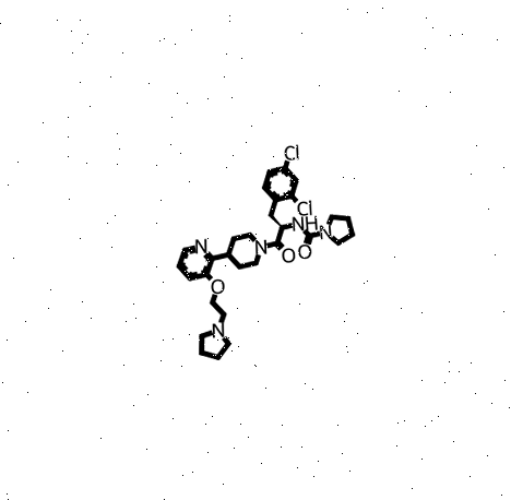 O=C(N[C@H](Cc1ccc(Cl)cc1Cl)C(=O)N1CCC(c2ncccc2OCCN2CCCC2)CC1)N1CCCC1